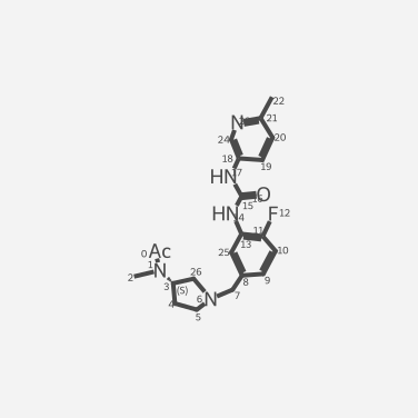 CC(=O)N(C)[C@H]1CCN(Cc2ccc(F)c(NC(=O)Nc3ccc(C)nc3)c2)C1